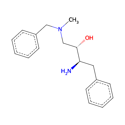 CN(Cc1ccccc1)C[C@H](O)[C@H](N)Cc1ccccc1